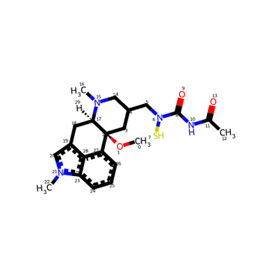 CO[C@]12CC(CN(S)C(=O)NC(C)=O)CN(C)[C@@H]1Cc1cn(C)c3cccc2c13